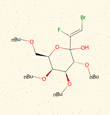 CCCCOC[C@H]1OC(O)(/C(F)=C/Br)[C@H](OCCCC)[C@@H](OCCCC)[C@H]1OCCCC